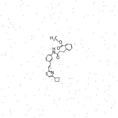 CCOC(=O)c1ccccc1CCC(=O)Nc1cccc(/C=C/c2nc(C3CCC3)cs2)c1